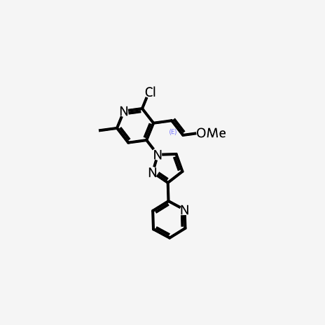 CO/C=C/c1c(-n2ccc(-c3ccccn3)n2)cc(C)nc1Cl